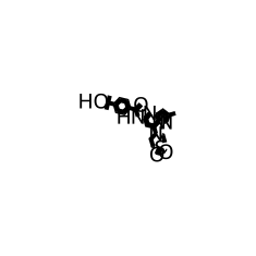 Cc1cc2nc(NC(=O)c3ccc(C(C)(C)O)cc3)cc(N3CCS(=O)(=O)CC3)n2n1